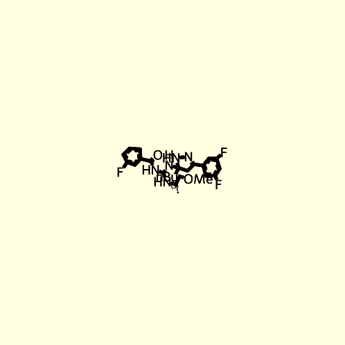 CCCCC1(NC(NC(=O)c2cccc(F)c2)N[C@@H](C)COC)CC(c2cc(F)cc(F)c2)=NN1